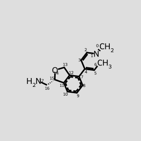 C=N/C=C\C(=C/C)c1cccc2c1CO[C@H]2CN